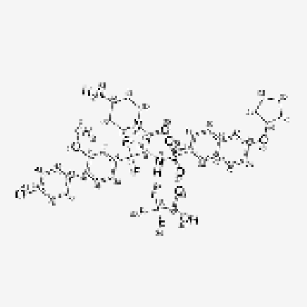 COc1cc(C(F)(F)[C@@H](NS(=O)(=O)c2ccc3cc(OC4CCCC4)ccc3c2)C(=O)N2CCC(N)CC2)ccc1-c1ccc(Cl)cc1.O=C(O)C(F)(F)F